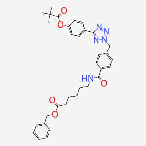 CC(C)(C)C(=O)Oc1ccc(-c2nnn(Cc3ccc(C(=O)NCCCCCC(=O)OCc4ccccc4)cc3)n2)cc1